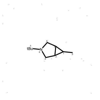 CC1C2CN(C(C)(C)C)CC12